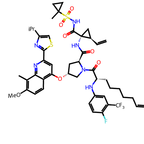 C=CCCCCC[C@H](Nc1ccc(F)c(C(F)(F)F)c1)C(=O)N1C[C@H](Oc2cc(-c3nc(C(C)C)cs3)nc3c(C)c(OC)ccc23)C[C@H]1C(=O)N[C@]1(C(=O)NS(=O)(=O)C2(C)CC2)C[C@H]1C=C